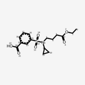 CCOC(=O)CCCN(C1CC1)S(=O)(=O)c1cccc(C(=O)O)c1